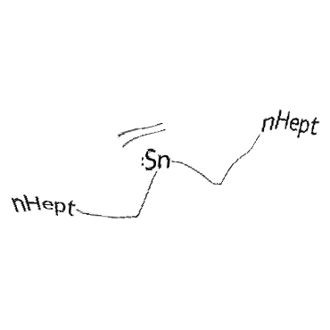 C=C.CCCCCCC[CH2][Sn][CH2]CCCCCCC